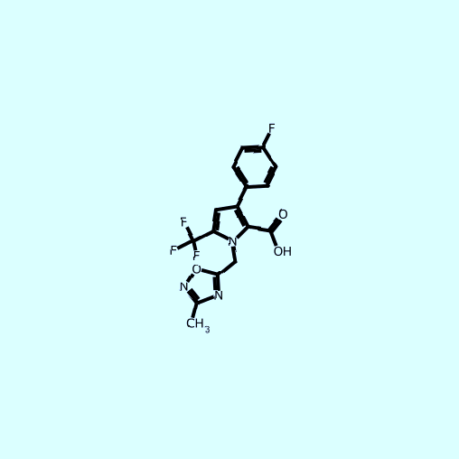 Cc1noc(Cn2c(C(F)(F)F)cc(-c3ccc(F)cc3)c2C(=O)O)n1